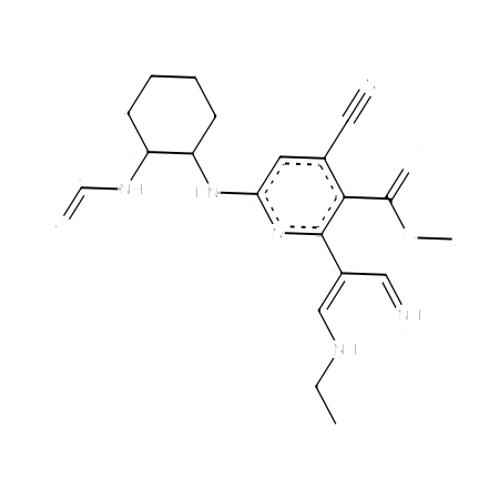 CCN/C=C(\C=N)c1nc(NC2CCCCC2NC=O)cc(C#N)c1C(=O)OC